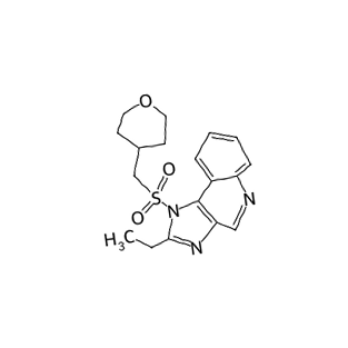 CCc1nc2cnc3ccccc3c2n1S(=O)(=O)CC1CCOCC1